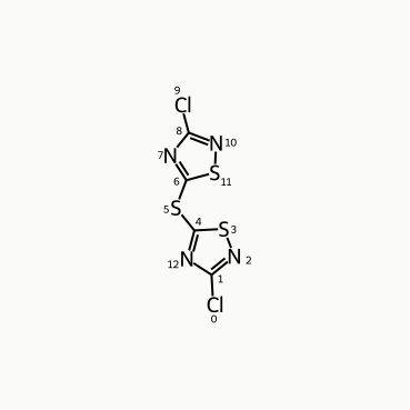 Clc1nsc(Sc2nc(Cl)ns2)n1